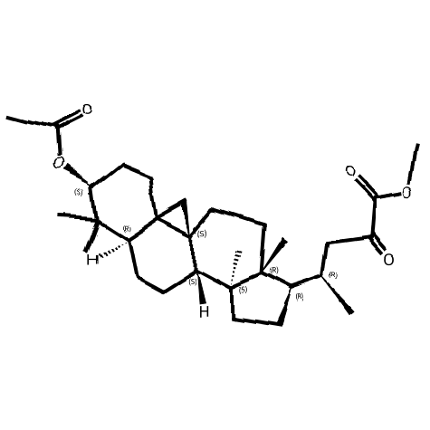 COC(=O)C(=O)C[C@@H](C)[C@H]1CC[C@@]2(C)[C@@H]3CC[C@H]4C(C)(C)[C@@H](OC(C)=O)CCC45C[C@@]35CC[C@]12C